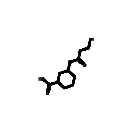 O=C(CCS)OC1CCCC(C(=O)O)C1